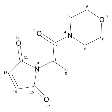 CC(C(=O)N1CCOCC1)N1C(=O)C=CC1=O